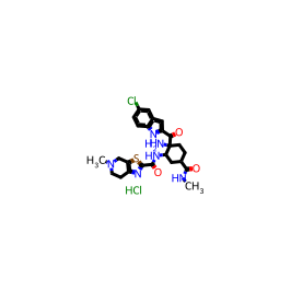 CNC(=O)C1CCC(N)(C(=O)c2cc3cc(Cl)ccc3[nH]2)C(NC(=O)c2nc3c(s2)CN(C)CC3)C1.Cl